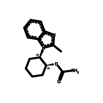 Cc1nc2ccccc2n1[C@@H]1CCCC[C@H]1OC(N)=O